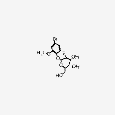 COc1cc(Br)ccc1O[C@H]1OC(CO)[C@@H](O)C(O)C1F